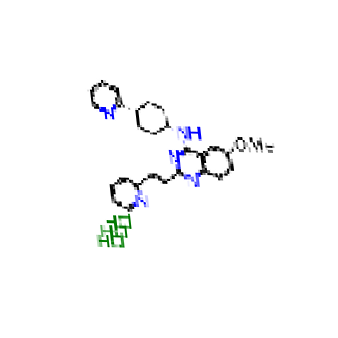 COc1ccc2nc(C=Cc3ccccn3)nc(N[C@H]3CC[C@@H](c4ccccn4)CC3)c2c1.Cl.Cl.Cl